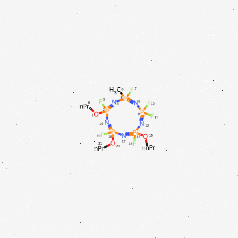 CCCOP1(F)=NP(C)(F)=NP(F)(F)=NP(F)(OCCC)=NP(F)(OCCC)=N1